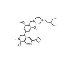 CCC(CC)CCN1CCN(Cc2c(OC)cc(-c3cn(C)c(=O)c4cnc(N5CCC5)cc34)cc2OC)CC1